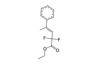 CCOC(=O)C(F)(F)C=C(C)c1ccccc1